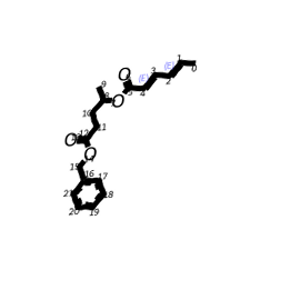 C/C=C/C=C/C(=O)OC(C)CCC(=O)OCc1ccccc1